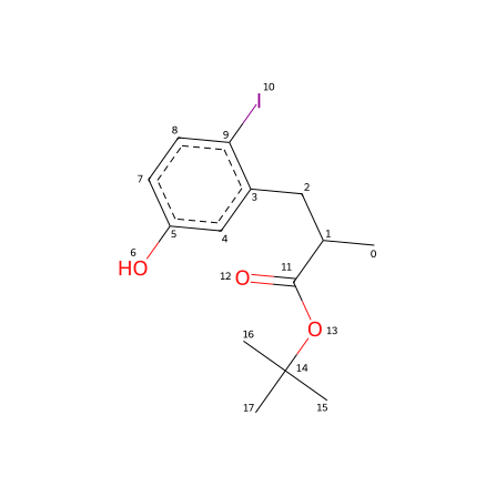 CC(Cc1cc(O)ccc1I)C(=O)OC(C)(C)C